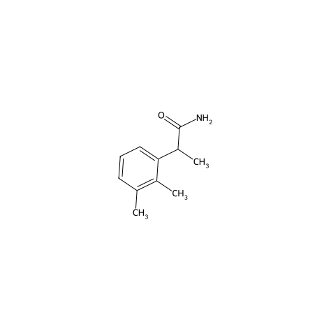 Cc1cccc(C(C)C(N)=O)c1C